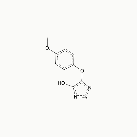 COc1ccc(Oc2nsnc2O)cc1